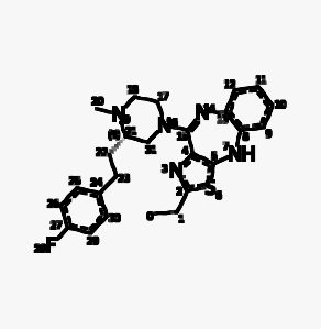 CCc1nc2c(s1)Nc1ccccc1N=C2N1CCN(C)[C@@H](CCc2ccc(F)cc2)C1